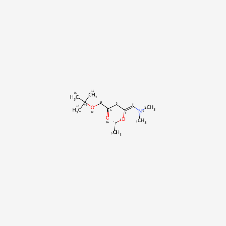 CCO/C(=C\N(C)C)CC(=O)COC(C)(C)C